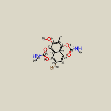 CNC(=O)Oc1c(C)c(OC)c(OC(=O)NC)c2cc(Br)ccc12